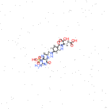 Nc1nc(=O)c2nc(CNc3ccc(C(=O)N[C@@H](CCC(=O)O)C(=O)O)cc3)cnc2n1S(=O)(=O)O